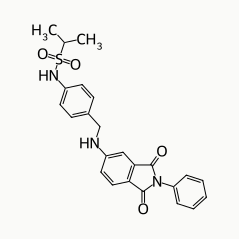 CC(C)S(=O)(=O)Nc1ccc(CNc2ccc3c(c2)C(=O)N(c2ccccc2)C3=O)cc1